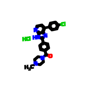 CN1CCN(C(=O)c2ccc(-c3nc4c(-c5ccc(Cl)cc5)ccnc4[nH]3)cc2)CC1.Cl